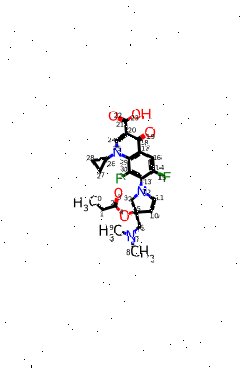 CCC(=O)OC1(CN(C)C)CCN(c2c(F)cc3c(=O)c(C(=O)O)cn(C4CC4)c3c2F)C1